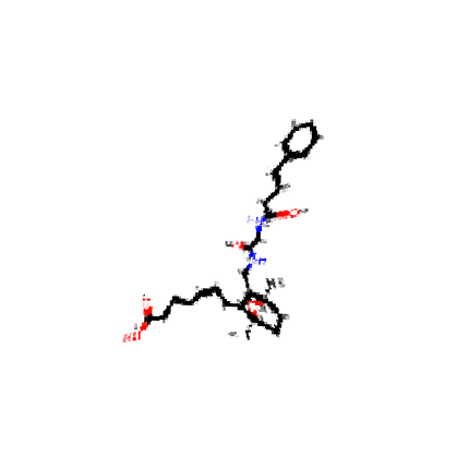 O=C(O)CCC/C=C\C[C@H]1[C@@H](CNC(=O)CNC(=O)CCCC2CCCCC2)[C@H]2CC[C@@H]1O2